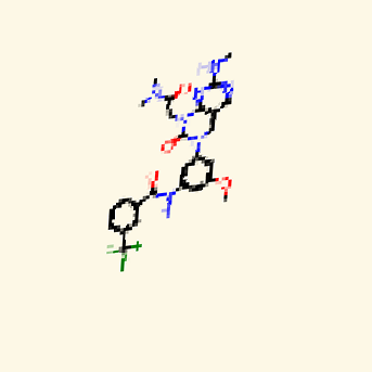 CNc1ncc2c(n1)N(CC(=O)N(C)C)C(=O)N(c1cc(NC(=O)c3cccc(C(F)(F)F)c3)cc(OC)c1)C2